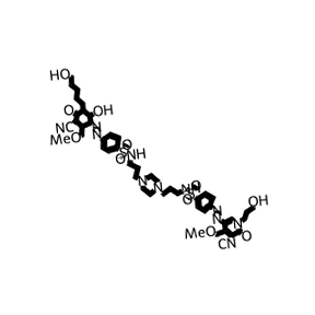 COCc1c(/N=N/c2ccc(S(=O)(=O)NCCCN3CCN(CCCNS(=O)(=O)c4ccc(/N=N/C5C(O)C(CCCCCO)C(=O)C(C#N)C5COC)cc4)CC3)cc2)cn(CCCO)c(=O)c1C#N